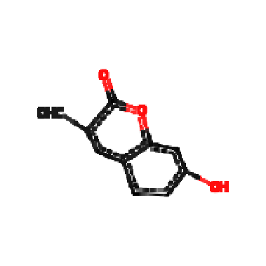 O=Cc1cc2ccc(O)cc2oc1=O